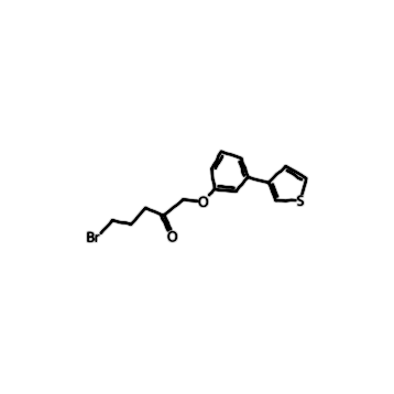 O=C(CCCBr)COc1cccc(-c2ccsc2)c1